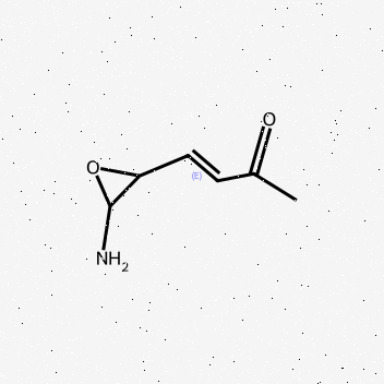 CC(=O)/C=C/C1OC1N